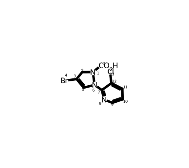 O=C(O)N1CC(Br)=CN1c1ncccc1Cl